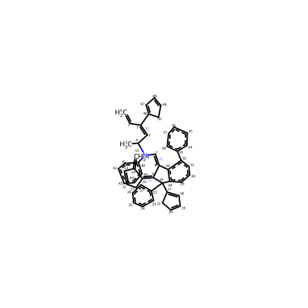 C=C/C(=C\C(C)N(/C=C1\C(=C2\CC=CC2=C)C(C2=CC=CC2)(c2ccccc2)c2cccc(-c3ccccc3)c21)c1ccccc1)C1=CC=CC1